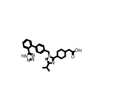 CC(C)c1nc(C2CCC(CC(=O)O)CC2)n(Cc2ccc(-c3ccccc3-c3nnn[nH]3)cc2)n1